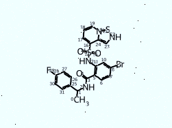 CC(NC(=O)c1ccc(Br)cc1NS(=O)(=O)C1=CC=CN2SNC=C12)c1ccc(F)cc1